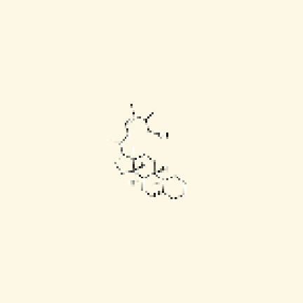 CC(=CC[C@@H](C)[C@H]1CC[C@H]2[C@@H]3CC=C4CCCC[C@]4(C)[C@H]3CC[C@]12C)C(C)CO